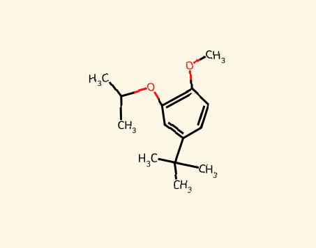 COc1ccc(C(C)(C)C)cc1OC(C)C